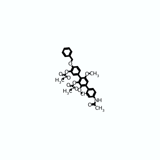 COc1cc(-c2ccc(NC(C)=O)cc2)c(OC)c(OS(C)(=O)=O)c1-c1ccc(OCc2ccccc2)c(OS(C)(=O)=O)c1